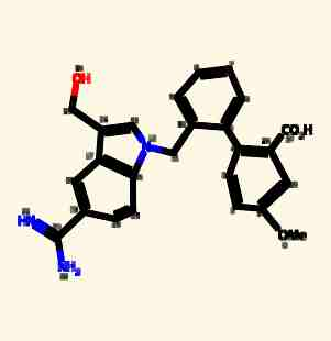 COc1ccc(-c2ccccc2Cn2cc(CO)c3cc(C(=N)N)ccc32)c(C(=O)O)c1